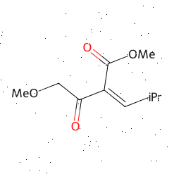 COCC(=O)C(=CC(C)C)C(=O)OC